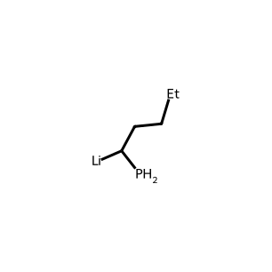 [Li][CH](P)CCCC